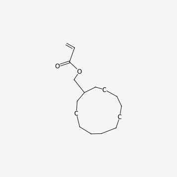 C=CC(=O)OCC1CCCCCCCCCCC1